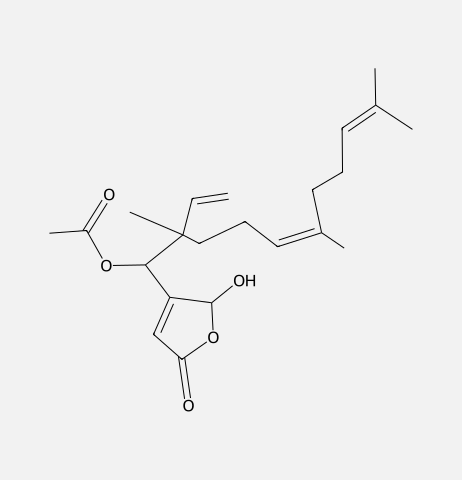 C=CC(C)(CCC=C(C)CCC=C(C)C)C(OC(C)=O)C1=CC(=O)OC1O